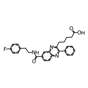 O=C(O)CCCCc1nc2cc(C(=O)NCCc3ccc(F)cc3)ccc2nc1-c1ccccc1